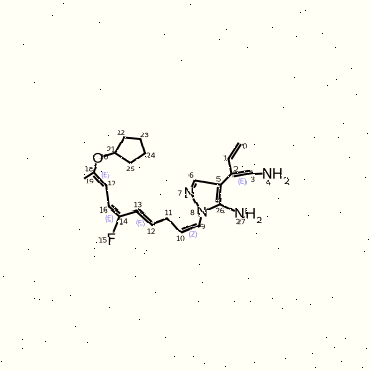 C=C/C(=C\N)c1cnn(/C=C\C/C=C/C(F)=C\C=C(/C)OC2CCCC2)c1N